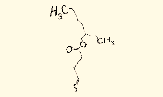 CCCCC(CC)COC(=O)CCC=S